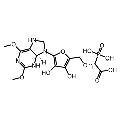 COC1=NC(OC)=C2NCN(c3oc(CO[C@@H](C(=O)O)P(=O)(O)O)c(O)c3O)[C@H]2N1